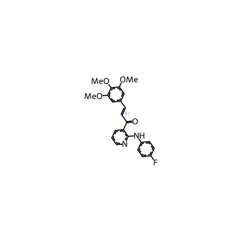 COc1cc(/C=C/C(=O)c2cccnc2Nc2ccc(F)cc2)cc(OC)c1OC